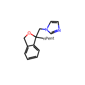 CCCCCC1(Cn2ccnc2)OCc2ccccc21